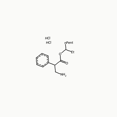 CCCCCC(CC)OC(=O)C(CN)c1ccccc1.Cl.Cl